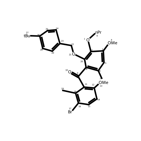 CCCOc1c(OC)cc(C)c(C(=O)c2c(OC)ccc(Br)c2C)c1OCc1ccc(C(C)(C)C)cc1